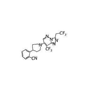 N#Cc1ccccc1C1CCN(c2cnn3c(CC(F)(F)F)nnc3c2C(F)(F)F)CC1